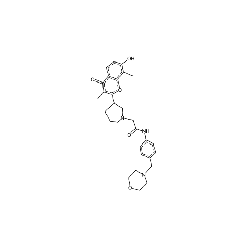 Cc1c(C2CCCN(CC(=O)Nc3ccc(CN4CCOCC4)cc3)C2)oc2c(C)c(O)ccc2c1=O